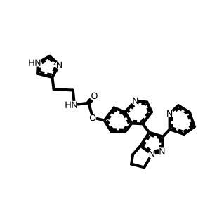 O=C(NCCc1c[nH]cn1)Oc1ccc2c(-c3c(-c4ccccn4)nn4c3CCC4)ccnc2c1